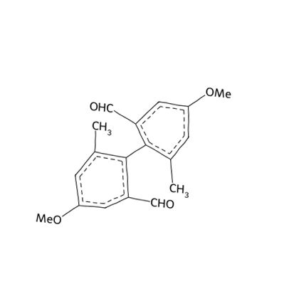 COc1cc(C)c(-c2c(C)cc(OC)cc2C=O)c(C=O)c1